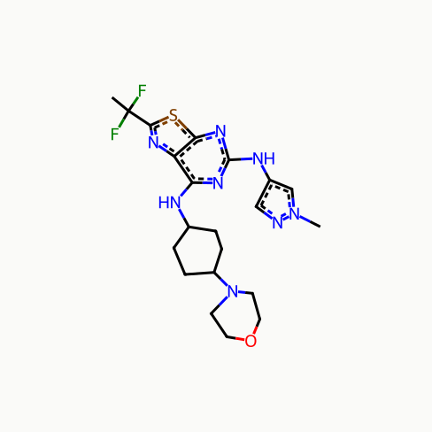 Cn1cc(Nc2nc(NC3CCC(N4CCOCC4)CC3)c3nc(C(C)(F)F)sc3n2)cn1